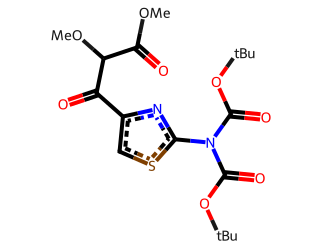 COC(=O)C(OC)C(=O)c1csc(N(C(=O)OC(C)(C)C)C(=O)OC(C)(C)C)n1